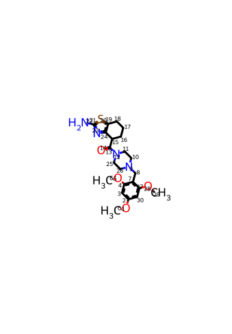 COc1cc(OC)c(CN2CCN(C(=O)C3CCCc4sc(N)nc43)CC2)c(OC)c1